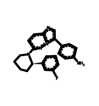 Nc1ccc(-c2cnc3ccc(N4CCCC[C@H]4c4cccc(F)c4)nn23)cc1